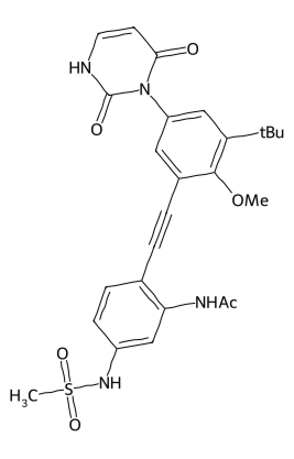 COc1c(C#Cc2ccc(NS(C)(=O)=O)cc2NC(C)=O)cc(-n2c(=O)cc[nH]c2=O)cc1C(C)(C)C